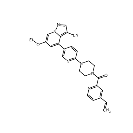 C=Cc1ccnc(C(=O)N2CCN(c3ccc(-c4cc(OCC)cn5ncc(C#N)c45)cn3)CC2)c1